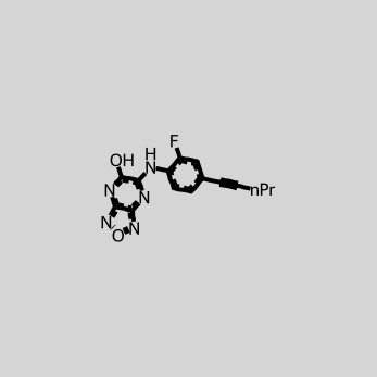 CCCC#Cc1ccc(Nc2nc3nonc3nc2O)c(F)c1